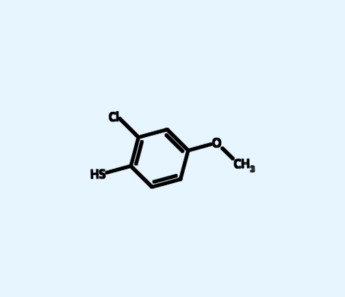 COc1ccc(S)c(Cl)c1